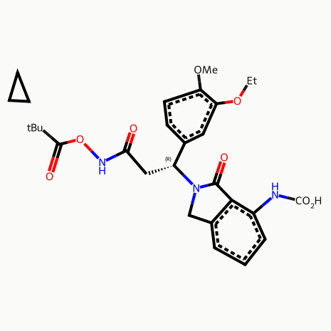 C1CC1.CCOc1cc([C@@H](CC(=O)NOC(=O)C(C)(C)C)N2Cc3cccc(NC(=O)O)c3C2=O)ccc1OC